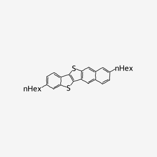 CCCCCCc1ccc2cc3c(cc2c1)sc1c2ccc(CCCCCC)cc2sc31